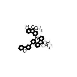 CC1(C)c2ccccc2-c2cc(N(c3ccc(-c4ccc5oc6ccccc6c5c4)cc3)c3cccc4c3-c3ccccc3C4(C)C)ccc21